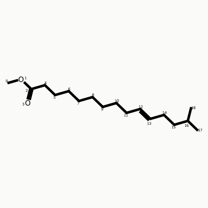 COC(=O)CCCCCCCCC=CCCC(C)C